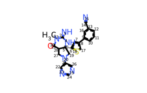 CN1C(=N)N[C@@]2(c3cc(-c4cccc(C#N)c4)cs3)CN(c3cncnc3)CC2C1=O